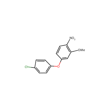 COc1cc(Oc2ccc(Cl)cc2)ccc1[N+](=O)[O-]